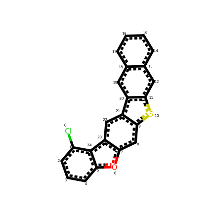 Clc1cccc2oc3cc4sc5cc6ccccc6cc5c4cc3c12